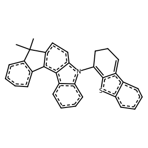 CC1(C)c2ccccc2-c2c1ccc1c2c2ccccc2n1C1=c2sc3ccccc3c2=CCC1